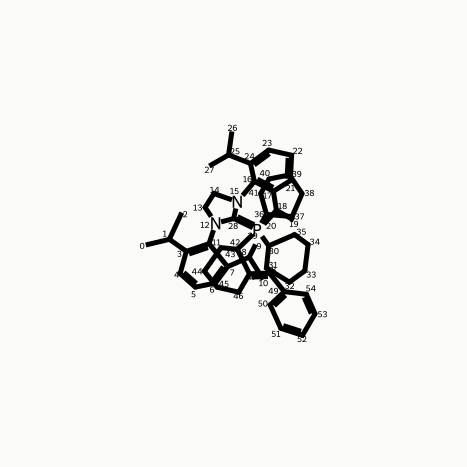 CC(C)c1cccc(C(C)C)c1N1CCN(c2c(C(C)C)cccc2C(C)C)C1=P(C1CCCCC1)(C1CCCCC1)C1CCCCC1=Cc1ccccc1